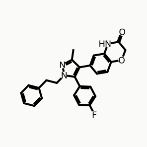 Cc1nn(CCc2ccccc2)c(-c2ccc(F)cc2)c1-c1ccc2c(c1)NC(=O)CO2